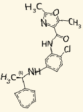 Cc1nc(C(=O)Nc2cc(CN[C@H](C)c3ccccc3)ccc2Cl)c(C)o1